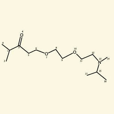 CC(C)C(=O)CCOCCOCCN(C)C(C)C